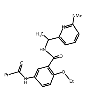 CCOc1ccc(NC(=O)C(C)C)cc1C(=O)NC(C)c1cccc(NC)n1